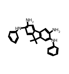 CC1(C)c2cc(Nc3ccccc3)c(N)cc2-c2cc(N)c(Nc3ccccc3)cc21